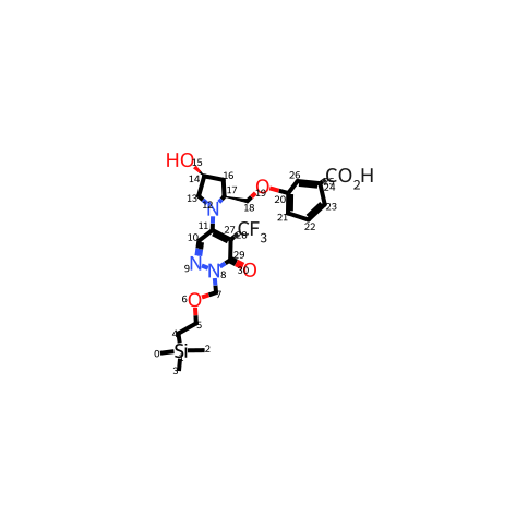 C[Si](C)(C)CCOCn1ncc(N2C[C@@H](O)C[C@H]2COc2cccc(C(=O)O)c2)c(C(F)(F)F)c1=O